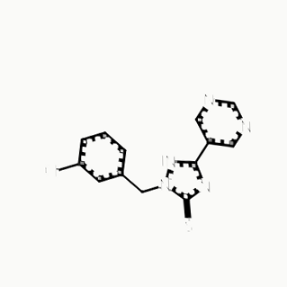 S=c1nc(-c2cncnc2)[nH]n1Cc1cccc(Cl)c1